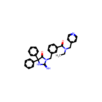 CCN(Cc1ccncc1)C(=O)c1cccc(CN2C(=N)NC(c3ccccc3)(c3ccccc3)C2=O)c1